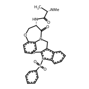 CN[C@@H](C)C(=O)N[C@H]1COc2ccccc2N(Cc2c(Cl)n(S(=O)(=O)c3ccccc3)c3ccccc23)C1=O